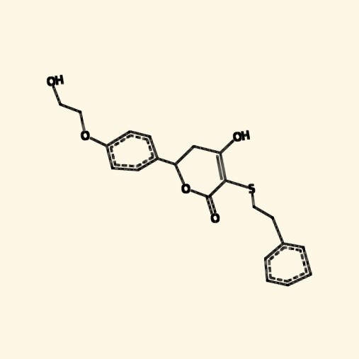 O=C1OC(c2ccc(OCCO)cc2)CC(O)=C1SCCc1ccccc1